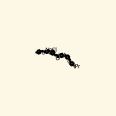 Cc1ccc(COc2ccc(Oc3c(C)cc(/C=C/C(=O)N4CCN(Cc5ccc(COc6ccc(C(C)C)cc6)cc5)CC4)cc3Cl)nc2)cc1